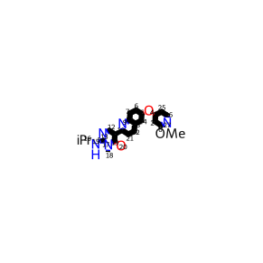 COc1cc(Oc2ccc3nc(-c4cnc(NC(C)C)n(C)c4=O)ccc3c2)ccn1